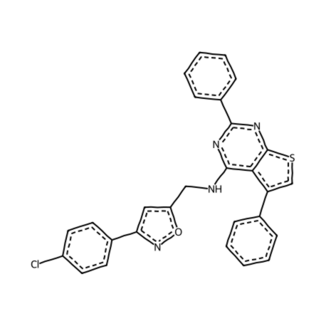 Clc1ccc(-c2cc(CNc3nc(-c4ccccc4)nc4scc(-c5ccccc5)c34)on2)cc1